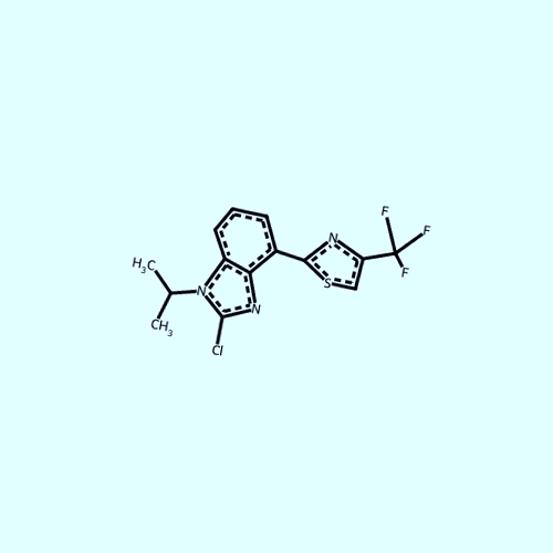 CC(C)n1c(Cl)nc2c(-c3nc(C(F)(F)F)cs3)cccc21